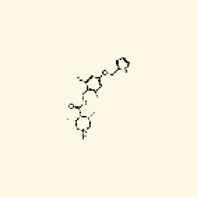 C[C@@H]1CNC[C@H](C)N1C(=O)OCc1c(F)cc(OCc2cccs2)cc1F